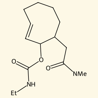 CCNC(=O)OC1/C=C/CCCCC1CC(=O)NC